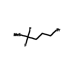 CSC(F)(F)CCCC(C)C